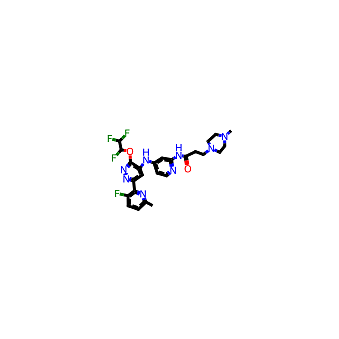 Cc1ccc(F)c(-c2cc(Nc3ccnc(NC(=O)CCN4CCN(C)CC4)c3)c(OC(F)C(F)F)nn2)n1